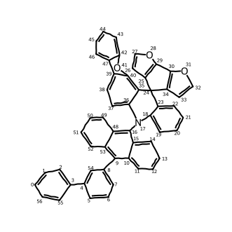 c1ccc(-c2cccc(-c3c4ccccc4c(N4c5ccccc5C5(c6ccoc6-c6occc65)c5c4ccc4c5oc5ccccc54)c4ccccc34)c2)cc1